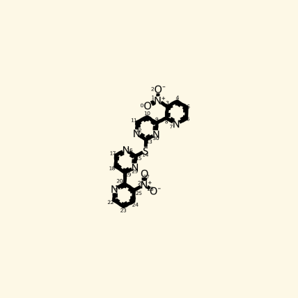 O=[N+]([O-])c1cccnc1-c1ccnc(Sc2nccc(-c3ncccc3[N+](=O)[O-])n2)n1